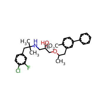 CC(Cc1cc(-c2ccccc2)ccc1C(=O)O)OC[C@H](O)CNC(C)(C)Cc1ccc(Cl)c(F)c1